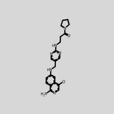 Nc1ncc(Cl)c2cc(NCc3cnc(NCCC(=O)N4CCCC4)nc3)ccc12